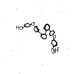 Oc1ccc(Oc2ccc(-c3ccccc3-c3ccccc3-c3ccc(Oc4ccc(O)cc4)cc3)cc2)cc1